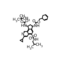 CC(C)CNS(=O)(=O)c1cc2c(c3cnc(C4CC4)cc13)C(NC(=O)OC(C)(C)C)C[C@@H]2NC(=O)OCC1C=CC=CC1